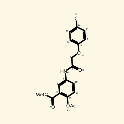 COC(=O)c1cc(NC(=O)COc2ccc(Cl)cc2)ccc1OC(C)=O